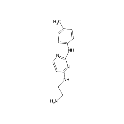 Cc1ccc(Nc2nccc(NCCN)n2)cc1